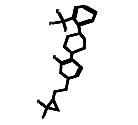 FC1=C(N2CCC(c3ccccc3C(F)(F)F)CC2)C=CN(CCC2CC2(F)F)C1